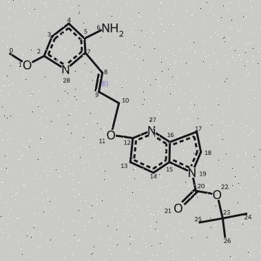 COc1ccc(N)c(/C=C/COc2ccc3c(ccn3C(=O)OC(C)(C)C)n2)n1